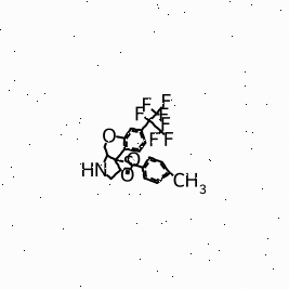 Cc1ccc(S(=O)(=O)C23CCNC2COc2cc(C(F)(C(F)(F)F)C(F)(F)F)ccc23)cc1